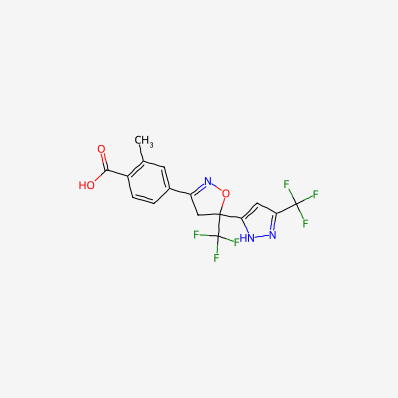 Cc1cc(C2=NOC(c3cc(C(F)(F)F)n[nH]3)(C(F)(F)F)C2)ccc1C(=O)O